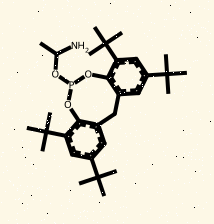 CC(N)OP1Oc2c(cc(C(C)(C)C)cc2C(C)(C)C)Cc2cc(C(C)(C)C)cc(C(C)(C)C)c2O1